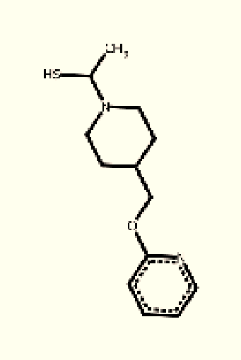 CC(S)N1CCC(COc2ccccn2)CC1